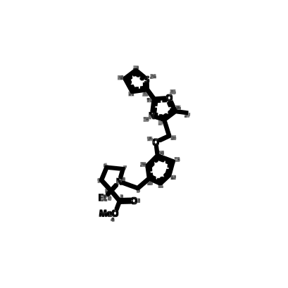 CCC1(C(=O)OC)CCCN1Cc1cccc(OCc2nc(-c3cccs3)oc2C)c1